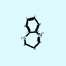 C1=Nc2ccccc2SCC1